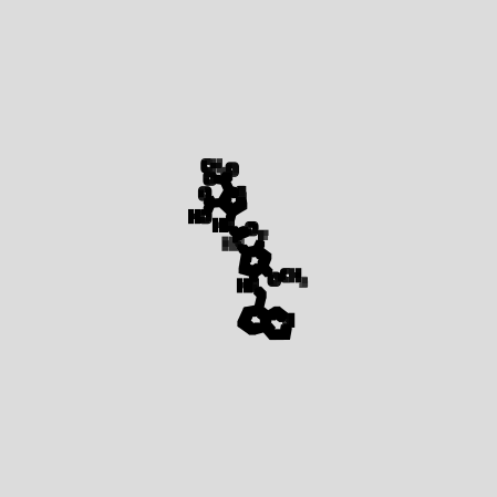 COC(=O)c1scc(NC(=O)Nc2cc(NCc3cccc4ccncc34)c(OC)cc2F)c1C(=O)O